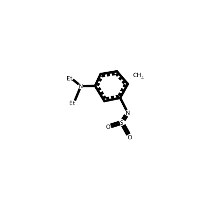 C.CCN(CC)c1cccc(N=S(=O)=O)c1